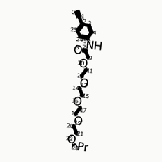 C#Cc1ccc(NC(=O)COCCOCCOCCOCCOCCC)cc1